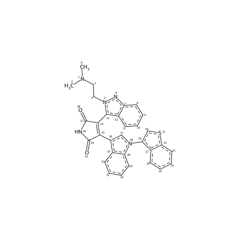 CN(C)CCn1nc2ccccc2c1C1=C(c2cn(-c3csc4ccccc34)c3ccccc23)C(=O)NC1=O